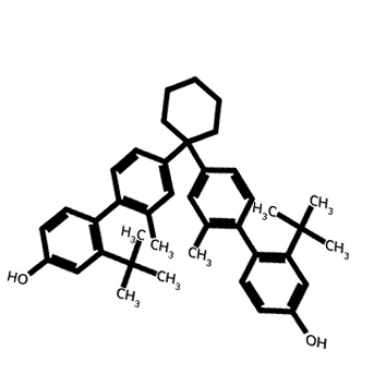 Cc1cc(C2(c3ccc(-c4ccc(O)cc4C(C)(C)C)c(C)c3)CCCCC2)ccc1-c1ccc(O)cc1C(C)(C)C